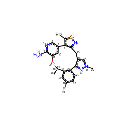 CCc1snc2c1-c1cnc(N)c(c1)O[C@H](C)c1cc(F)ccc1-c1nn(C)cc1C2